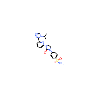 CC(C)n1cnnc1-c1cccc(N2CCN(c3ccc(S(N)(=O)=O)cc3)C2=O)n1